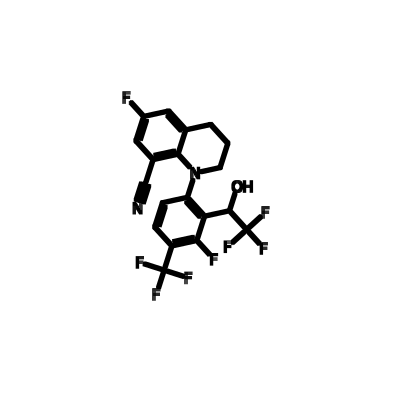 N#Cc1cc(F)cc2c1N(c1ccc(C(F)(F)F)c(F)c1C(O)C(F)(F)F)CCC2